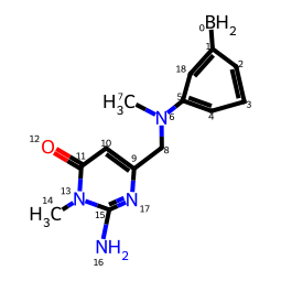 Bc1cccc(N(C)Cc2cc(=O)n(C)c(N)n2)c1